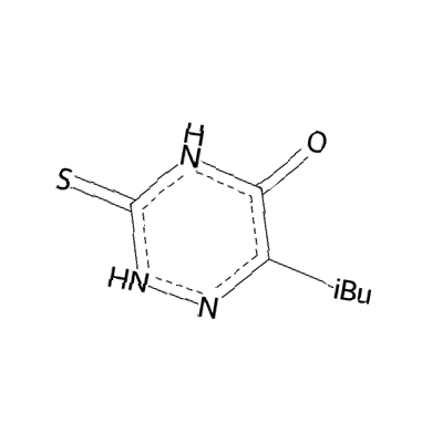 CCC(C)c1n[nH]c(=S)[nH]c1=O